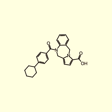 O=C(O)c1ccc2n1Cc1ccccc1N(C(=O)c1ccc(C3CCCCC3)cc1)C2